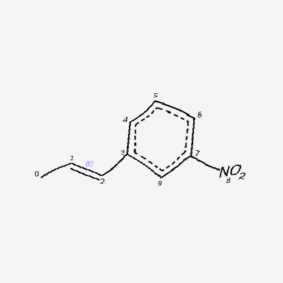 C/C=C/c1cccc([N+](=O)[O-])c1